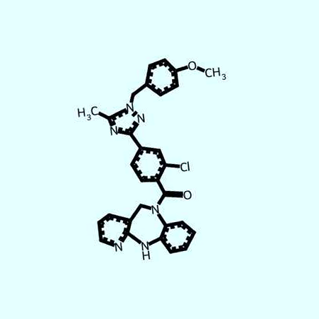 COc1ccc(Cn2nc(-c3ccc(C(=O)N4Cc5cccnc5Nc5ccccc54)c(Cl)c3)nc2C)cc1